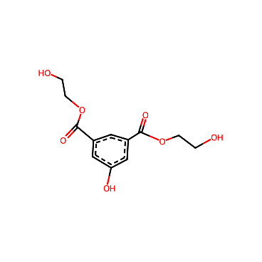 O=C(OCCO)c1cc(O)cc(C(=O)OCCO)c1